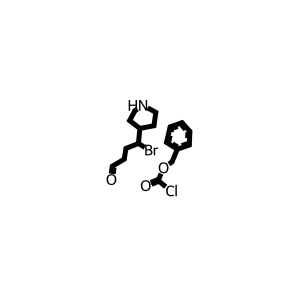 O=C(Cl)OCc1ccccc1.O=CCCC(Br)C1CCNCC1